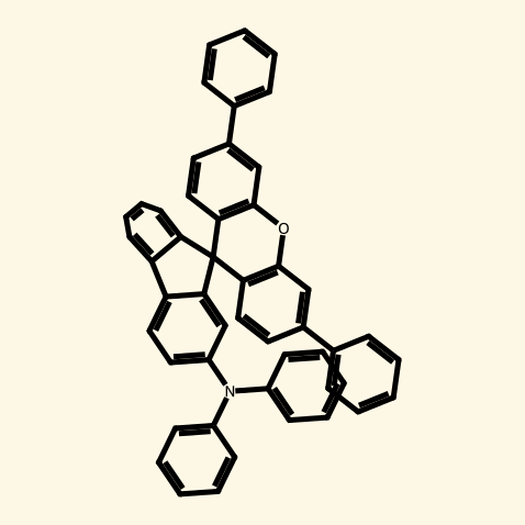 c1ccc(-c2ccc3c(c2)Oc2cc(-c4ccccc4)ccc2C32c3ccccc3-c3ccc(N(c4ccccc4)c4ccccc4)cc32)cc1